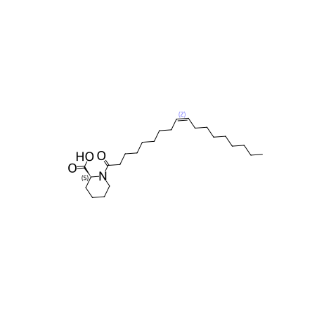 CCCCCCCC/C=C\CCCCCCCC(=O)N1CCCC[C@H]1C(=O)O